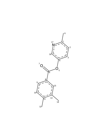 Cc1ccc(OC(=O)c2ccc(C)c(C)c2)cn1